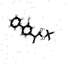 CC(C(=O)OC(C)(C)C)c1ccc(-c2ccccc2)c(F)c1